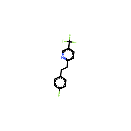 Fc1ccc(CCc2ccc(C(F)(F)F)cn2)cc1